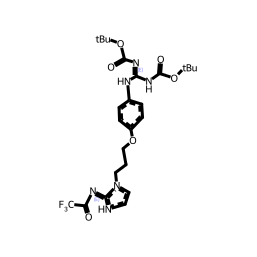 CC(C)(C)OC(=O)/N=C(/NC(=O)OC(C)(C)C)Nc1ccc(OCCCn2cc[nH]/c2=N\C(=O)C(F)(F)F)cc1